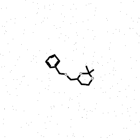 CC1(C)OCCC(COCc2ccccc2)O1